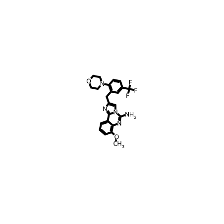 COc1cccc2c1nc(N)n1cc(Cc3cc(C(F)(F)F)ccc3N3CCOCC3)nc21